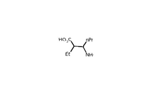 CCCC([NH])C(CC)C(=O)O